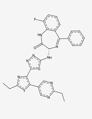 CCc1ncc(-c2sc(CC)nc2-c2nnc(N[C@H]3N=C(c4ccccc4)c4cccc(F)c4NC3=O)o2)cn1